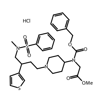 COC(=O)CN(C(=O)OCc1ccccc1)C1CCN(CCC(CN(C)S(=O)(=O)c2ccccc2)c2ccsc2)CC1.Cl